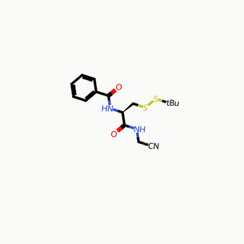 CC(C)(C)SSC[C@H](NC(=O)c1ccccc1)C(=O)NCC#N